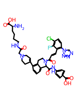 N[C@@H](CCCCNC(=O)CN1CC=C(c2cccc3c2CCN(C(=O)/C=C/c2c(-n4cnnn4)ccc(Cl)c2F)C3C(=O)Nc2ccc(C(=O)O)cc2)CC1)C(=O)O